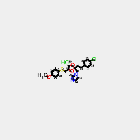 COc1ccc(SCC2COC(CCc3ccc(Cl)cc3)(Cn3ccnc3)O2)cc1.Cl